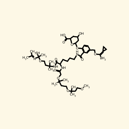 BC(OCc1ccc(OC2CC(O)CC(C(=O)O)O2)c(C(=O)NCCCCC(NC(=O)COC(C)(C)CCOC(C)(C)CCOC)C(=O)NC(C)(C)CCOC(C)(S)N=C(C)C)c1)=C1CC1